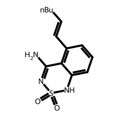 CCCC/C=C/c1cccc2c1C(N)=NS(=O)(=O)N2